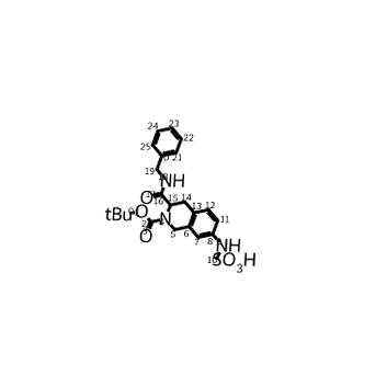 CC(C)(C)OC(=O)N1Cc2cc(NS(=O)(=O)O)ccc2CC1C(=O)NCc1ccccc1